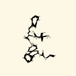 CCOC(=O)OC1CC2(CCN(C(=O)[C@@H](CCCc3ccccc3)NC(=O)C(C)(C)N)CC2)c2ccccc21